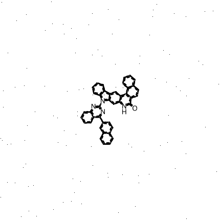 O=c1[nH]c2cc3c(cc2c2c1ccc1ccccc12)c1ccccc1n3-c1nc(-c2ccc3ccccc3c2)c2ccccc2n1